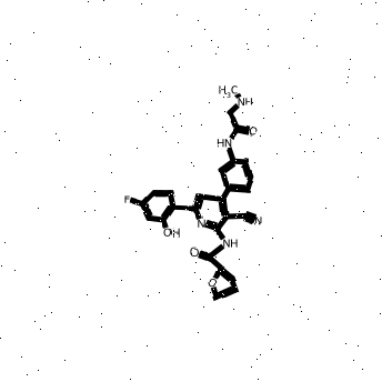 CNCC(=O)Nc1cccc(-c2cc(-c3ccc(F)cc3O)nc(NC(=O)c3ccco3)c2C#N)c1